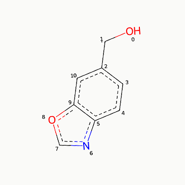 O[CH]c1ccc2ncoc2c1